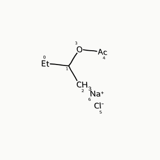 CCC(C)OC(C)=O.[Cl-].[Na+]